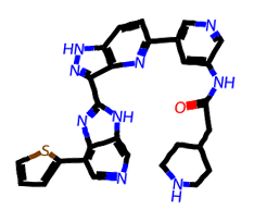 O=C(CC1CCNCC1)Nc1cncc(-c2ccc3[nH]nc(-c4nc5c(-c6cccs6)cncc5[nH]4)c3n2)c1